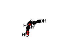 CC(C)(c1ccc(O)cc1)c1ccc(NC(=O)c2cccc(C(=O)Nc3ccc(C(C)(C)c4ccc(O)cc4)cc3Cl)c2)c(Cl)c1